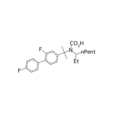 CCCCCC(CC)N(C(=O)O)C(C)(C)c1ccc(-c2ccc(F)cc2)c(F)c1